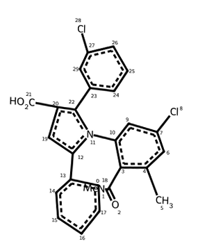 CNC(=O)c1c(C)cc(Cl)cc1-n1c(-c2ccccc2)cc(C(=O)O)c1-c1cccc(Cl)c1